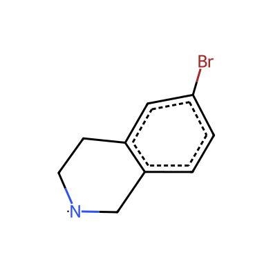 Brc1ccc2c(c1)CC[N]C2